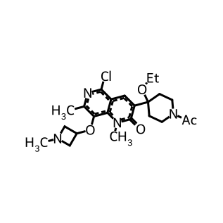 CCOC1(c2cc3c(Cl)nc(C)c(OC4CN(C)C4)c3n(C)c2=O)CCN(C(C)=O)CC1